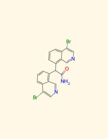 NC(=O)C(c1cccc2c(Br)cncc12)c1cccc2c(Br)cncc12